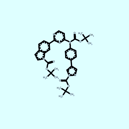 CC(C)(C)OC(=O)N(c1ccc(-c2cnn(C(=O)OC(C)(C)C)c2)cc1)c1ccnc(-c2ccc3ccn(C(=O)OC(C)(C)C)c3c2)n1